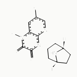 Cn1c(=O)c(=O)n([C@H]2C[C@H]3CC[C@@H](C2)N3)c2ncc(Cl)cc21